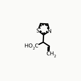 C=CC(C(=O)O)c1nccs1